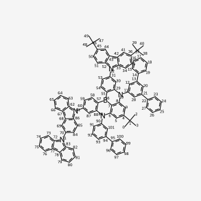 CC(C)(C)c1cc2c3c(c1)N(c1cc(-c4ccccc4)cc(-c4ccccc4)c1)c1cc(-n4c5ccc(C(C)(C)C)cc5c5cc(C(C)(C)C)ccc54)ccc1B3c1ccc(-n3c4ccccc4c4cc(-n5c6ccccc6c6ccccc65)ccc43)cc1N2c1cccc(-c2ccccc2)c1